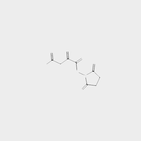 C=C(CC(=O)O)C(=O)ON1C(=O)CCC1=O